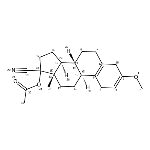 COC1=CCC2=C(CC[C@@H]3[C@@H]2CC[C@@]2(C)[C@H]3CCC2(C#N)OC(C)=O)C1